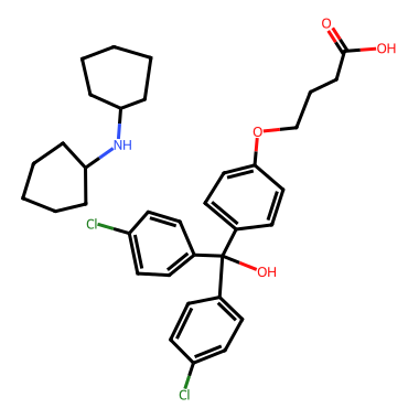 C1CCC(NC2CCCCC2)CC1.O=C(O)CCCOc1ccc(C(O)(c2ccc(Cl)cc2)c2ccc(Cl)cc2)cc1